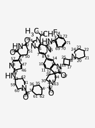 CC(C)n1cnc2cc(-c3ccc4c(c3)N([C@H]3C[C@@H](N5CCCCC5)C3)C(=O)C43CCN(C(=O)[C@H]4CC[C@@H](C(=O)N5CCC(Nc6ccc(C7CCC(=O)NC7=O)cn6)CC5)CC4)CC3)nc(Nc3ccccc3F)c21